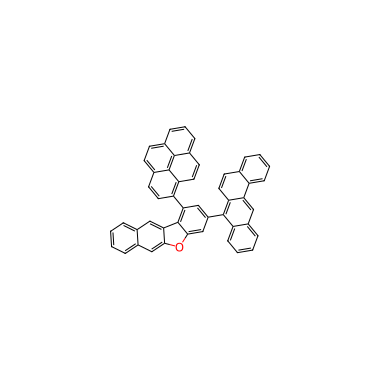 c1ccc2cc3c(cc2c1)oc1cc(-c2c4ccccc4cc4c2ccc2ccccc24)cc(-c2ccc4ccc5cccc6ccc2c4c56)c13